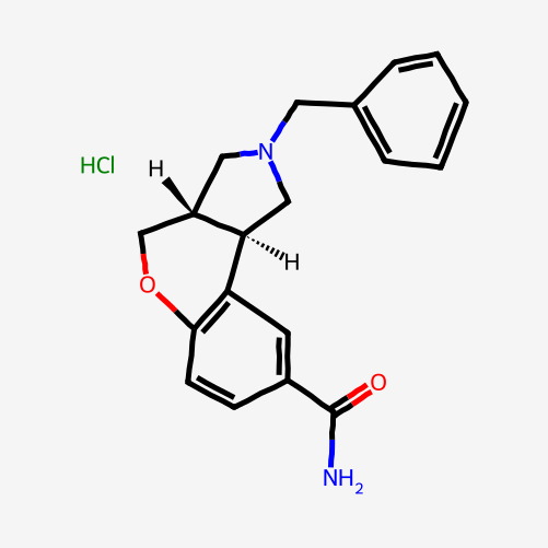 Cl.NC(=O)c1ccc2c(c1)[C@@H]1CN(Cc3ccccc3)C[C@H]1CO2